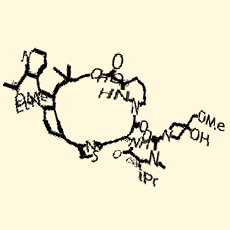 CCn1c(-c2cccnc2[C@H](C)OC)c2c3cc(ccc31)-c1csc(n1)C[C@H](NC(=O)[C@H](C(C)C)N(C)C(=O)N1CC(O)(COC)C1)C(=O)N1CCC[C@@](O)(N1)C(=O)OCC(C)(C)C2